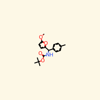 COc1ccc(C(NC(=O)OC(C)(C)C)c2ccc(C)cc2)o1